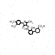 CC1=NN(c2ccc(C)c(C)c2)C(=O)/C1=N\Nc1cccc(C2CCCC(C(=O)O)C2)c1O